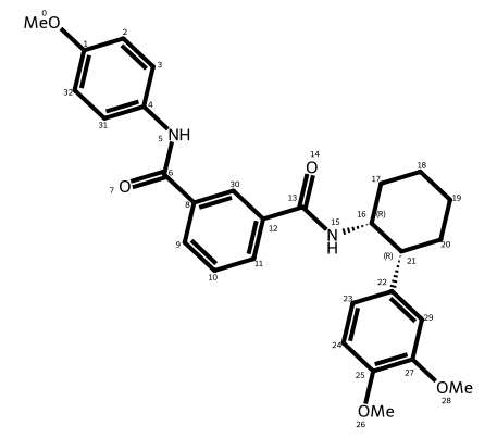 COc1ccc(NC(=O)c2cccc(C(=O)N[C@@H]3CCCC[C@@H]3c3ccc(OC)c(OC)c3)c2)cc1